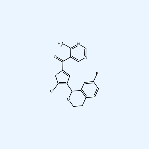 Nc1ncncc1C(=O)c1cc(C2OCCc3ccc(F)cc32)c(Cl)s1